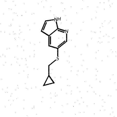 c1cc2cc(SCC3CC3)cnc2[nH]1